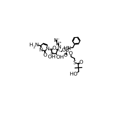 CC(C)(CO)C(=O)SCCOP(=O)(NCc1ccccc1)OC[C@@]1(N=[N+]=[N-])O[C@@H](n2ccc(N)nc2=O)[C@@H](O)C1O